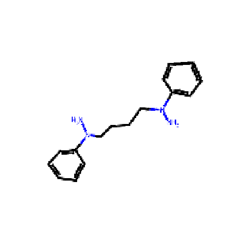 NN(CCCCN(N)c1ccccc1)c1ccccc1